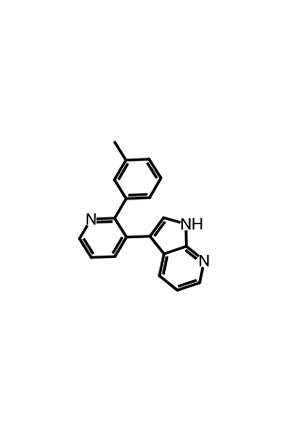 Cc1cccc(-c2ncccc2-c2c[nH]c3ncccc23)c1